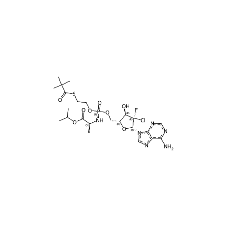 CC(C)OC(=O)[C@H](C)N[P@](=O)(OCCSC(=O)C(C)(C)C)OC[C@H]1O[C@@H](n2cnc3c(N)ncnc32)[C@](F)(Cl)[C@@H]1O